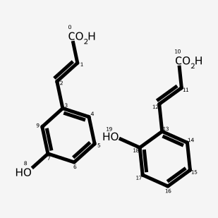 O=C(O)C=Cc1cccc(O)c1.O=C(O)C=Cc1ccccc1O